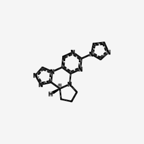 c1cn(-c2ncc3c(n2)N2CCC[C@@H]2c2nncn2-3)cn1